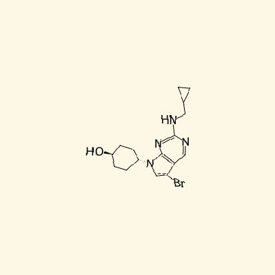 O[C@H]1CC[C@H](n2cc(Br)c3cnc(NCC4CC4)nc32)CC1